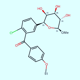 CCOc1ccc(C(=O)c2cc([C@@H]3O[C@H](OC)[C@@H](O)[C@H](O)[C@@H]3O)ccc2Cl)cc1